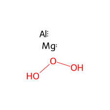 OOO.[Al].[Mg]